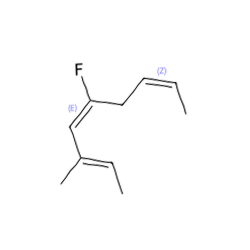 CC=C(C)/C=C(/F)C/C=C\C